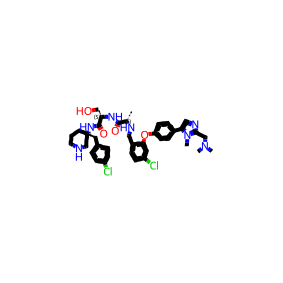 C[C@H](NCc1ccc(Cl)cc1Oc1ccc(-c2cnc(CN(C)C)n2C)cc1)C(=O)N[C@@H](CO)C(=O)N[C@@]1(Cc2ccc(Cl)cc2)CCCNC1